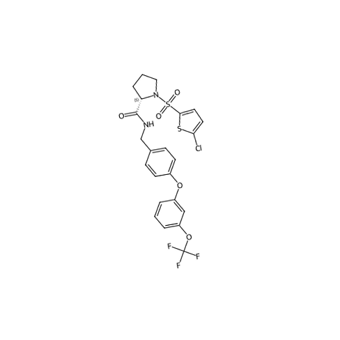 O=C(NCc1ccc(Oc2cccc(OC(F)(F)F)c2)cc1)[C@@H]1CCCN1S(=O)(=O)c1ccc(Cl)s1